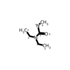 CCN(CC)C(=O)[N]C